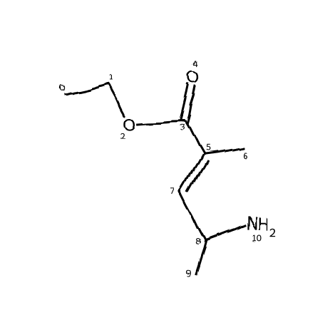 CCOC(=O)C(C)=CC(C)N